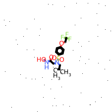 CC(C)CN(CC(=O)NO)S(=O)(=O)c1ccc(OCC(F)(F)F)cc1